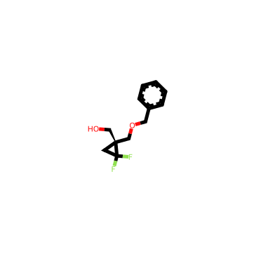 OC[C@]1(COCc2ccccc2)CC1(F)F